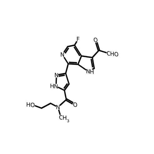 CN(CCO)C(=O)c1cc(-c2ncc(F)c3c(C(=O)C=O)c[nH]c23)n[nH]1